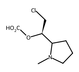 CN1CCCC1[C@H](CCl)OC(=O)O